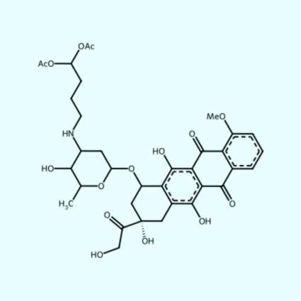 COc1cccc2c1C(=O)c1c(O)c3c(c(O)c1C2=O)C[C@@](O)(C(=O)CO)CC3OC1CC(NCCCC(OC(C)=O)OC(C)=O)C(O)C(C)O1